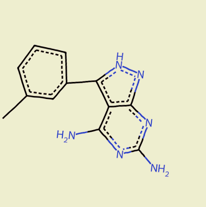 Cc1cccc(-c2[nH]nc3nc(N)nc(N)c23)c1